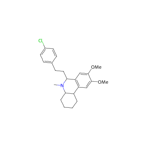 COc1cc2c(cc1OC)C(CCc1ccc(Cl)cc1)N(C)C1CCCCC21